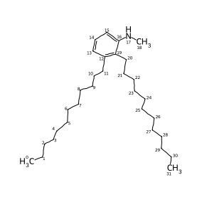 CCCCCCCCCCCCc1cccc(NC)c1CCCCCCCCCCCC